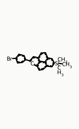 C[Si](C)(C)c1cc2ccc3cc(-c4ccc(Br)cc4)cc4ccc(c1)c2c34